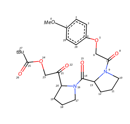 COc1ccc(OCC(=O)N2CCCC2C(=O)N2CCCC2C(=O)COC(=O)C(C)(C)C)cc1